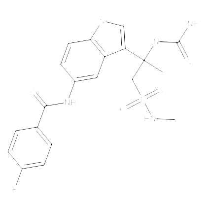 CNS(=O)(=O)CC(C)(NC(N)=S)c1csc2ccc(NC(=O)c3ccc(F)cc3)cc12